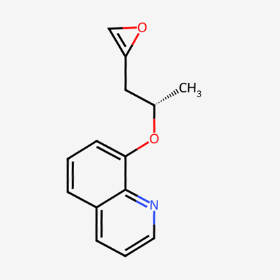 C[C@@H](CC1=CO1)Oc1cccc2cccnc12